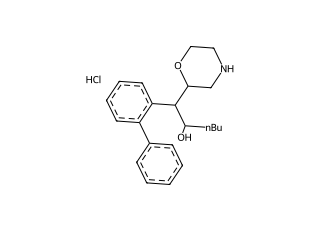 CCCCC(O)C(c1ccccc1-c1ccccc1)C1CNCCO1.Cl